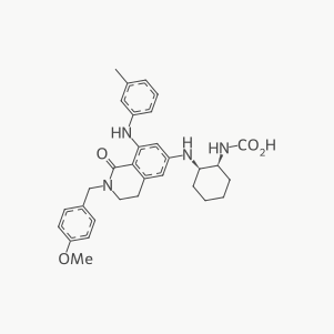 COc1ccc(CN2CCc3cc(N[C@@H]4CCCC[C@@H]4NC(=O)O)cc(Nc4cccc(C)c4)c3C2=O)cc1